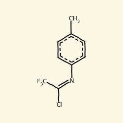 Cc1ccc(/N=C(/Cl)C(F)(F)F)cc1